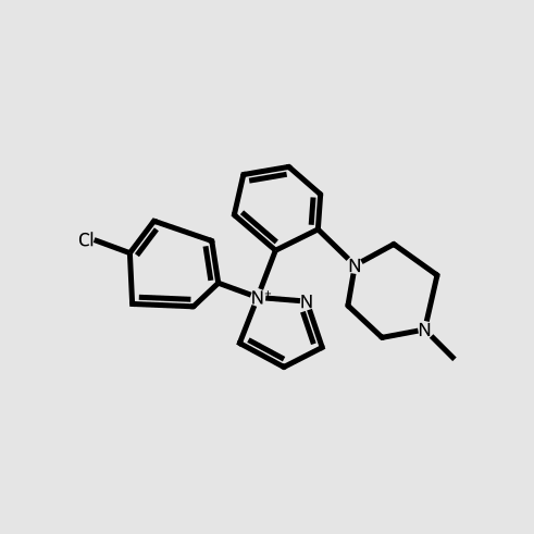 CN1CCN(c2ccccc2[N+]2(c3ccc(Cl)cc3)C=CC=N2)CC1